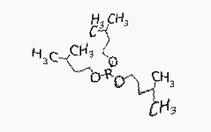 CC(C)CCOP(OCCC(C)C)OCCC(C)C